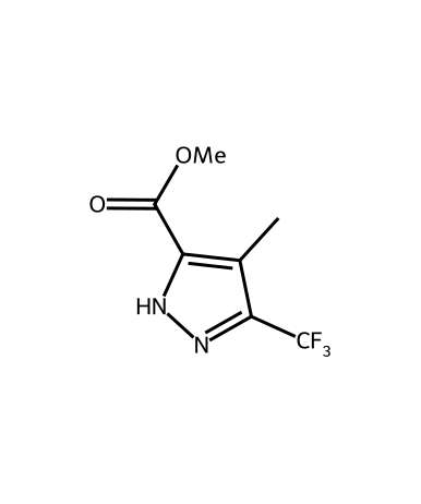 COC(=O)c1[nH]nc(C(F)(F)F)c1C